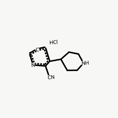 Cl.N#Cc1ncccc1C1CCNCC1